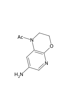 CC(=O)N1CCOc2ncc(N)cc21